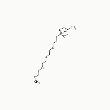 COCCOCCOCCOCCCC12OCC(C)(CO1)CO2